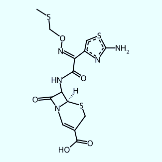 CSCON=C(C(=O)NC1C(=O)N2C=C(C(=O)O)CS[C@H]12)c1csc(N)n1